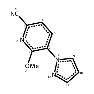 COc1nc(C#N)ccc1-n1cc[c]n1